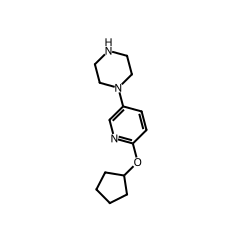 c1cc(OC2CCCC2)ncc1N1CCNCC1